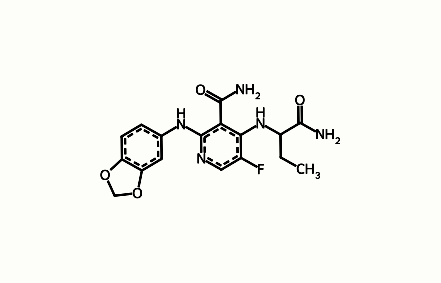 CCC(Nc1c(F)cnc(Nc2ccc3c(c2)OCO3)c1C(N)=O)C(N)=O